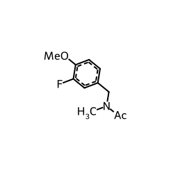 COc1ccc(CN(C)C(C)=O)cc1F